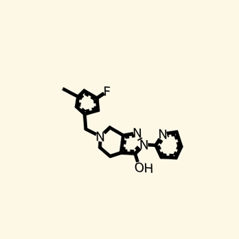 Cc1cc(F)cc(CN2CCc3c(nn(-c4ccccn4)c3O)C2)c1